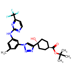 Cc1cc(Nc2nccc(C(F)(F)F)n2)cc(-n2cc([C@]3(O)CC[C@H](C(=O)OC(C)(C)C)CC3)nn2)c1